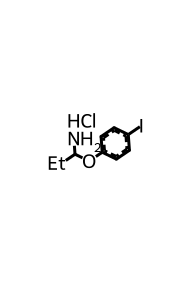 CCC(N)Oc1ccc(I)cc1.Cl